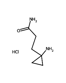 Cl.NC(=O)CCC1(N)CC1